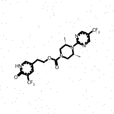 C[C@@H]1CN(C(=O)OCCc2c[nH]c(=O)c(C(F)(F)F)c2)C[C@H](C)N1c1ncc(C(F)(F)F)cn1